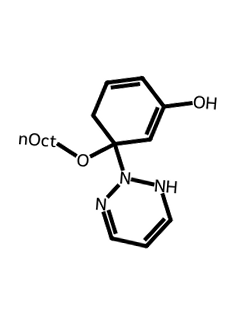 CCCCCCCCOC1(N2N=CC=CN2)C=C(O)C=CC1